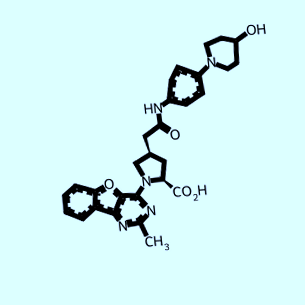 Cc1nc(N2C[C@@H](CC(=O)Nc3ccc(N4CCC(O)CC4)cc3)C[C@H]2C(=O)O)c2oc3ccccc3c2n1